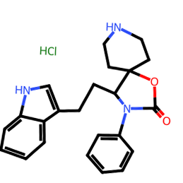 Cl.O=C1OC2(CCNCC2)C(CCc2c[nH]c3ccccc23)N1c1ccccc1